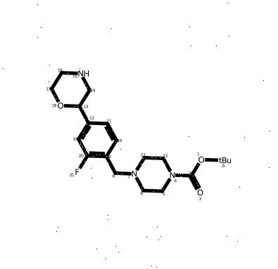 CC(C)(C)OC(=O)N1CCN(Cc2ccc(C3CNCCO3)cc2F)CC1